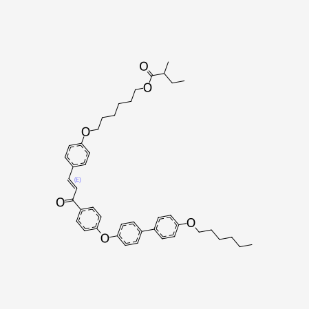 CCCCCCOc1ccc(-c2ccc(Oc3ccc(C(=O)/C=C/c4ccc(OCCCCCCOC(=O)C(C)CC)cc4)cc3)cc2)cc1